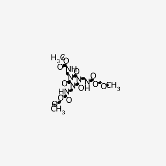 COCOC(=O)NCn1c(=O)n(CNC(=O)OC)c(=O)n(CNC(=O)OCOC)c1=O